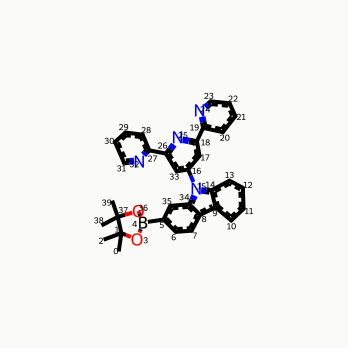 CC1(C)OB(c2ccc3c4ccccc4n(-c4cc(-c5ccccn5)nc(-c5ccccn5)c4)c3c2)OC1(C)C